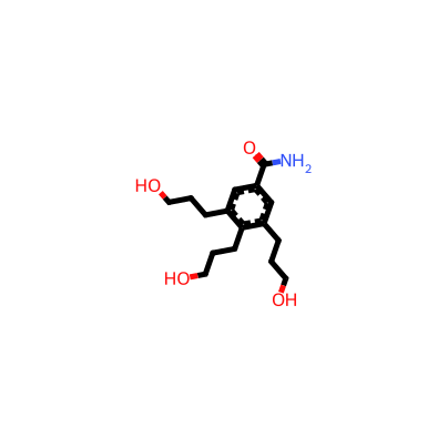 NC(=O)c1cc(CCCO)c(CCCO)c(CCCO)c1